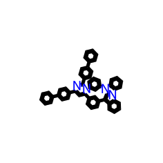 c1ccc(-c2ccc(-c3cc(-c4cccc(-c5c6ccccc6n6c7ccccc7n(-c7ccccc7)c56)c4)nc(-c4ccc(-c5ccccc5)cc4)n3)cc2)cc1